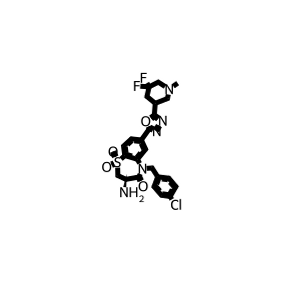 CN1CC(c2nnc(-c3ccc4c(c3)N(Cc3ccc(Cl)cc3)C(=O)[C@@H](N)CS4(=O)=O)o2)CC(F)(F)C1